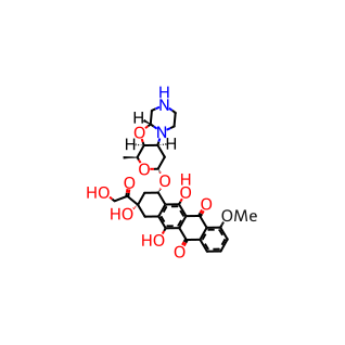 COc1cccc2c1C(=O)c1c(O)c3c(c(O)c1C2=O)C[C@@](O)(C(=O)CO)C[C@@H]3O[C@H]1C[C@H]2[C@H](O[C@@H]3CNCCN32)[C@H](C)O1